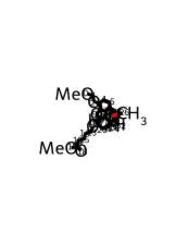 COCOc1ccc2c3c1O[C@H]1[C@@H](OCCCCC(=O)OC)C=C[C@H]4[C@@H](C2)N(C)CC[C@@]341